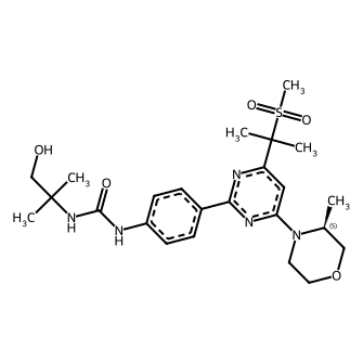 C[C@H]1COCCN1c1cc(C(C)(C)S(C)(=O)=O)nc(-c2ccc(NC(=O)NC(C)(C)CO)cc2)n1